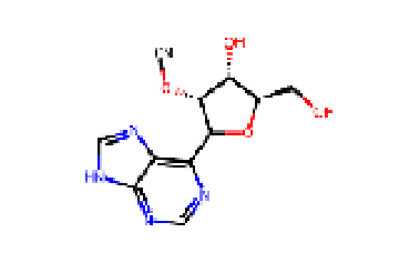 N#CO[C@H]1C(c2ncnc3[nH]cnc23)O[C@H](CO)[C@H]1O